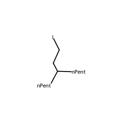 CCCCCC(CCI)CCCCC